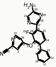 N#Cc1cc(Oc2c(-c3ccccc3)ccc(-c3cnc(N)cn3)c2F)ccn1